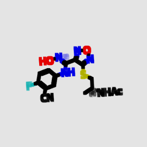 CC(=O)N[C@H](C)CSc1nonc1/C(=N/O)Nc1ccc(F)c(C#N)c1